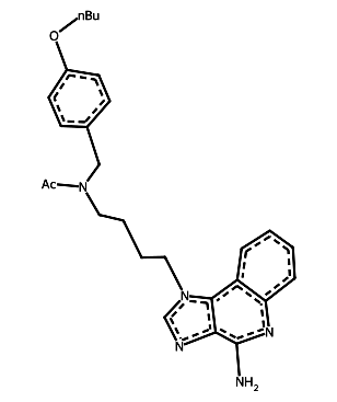 CCCCOc1ccc(CN(CCCCn2cnc3c(N)nc4ccccc4c32)C(C)=O)cc1